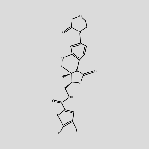 O=C(NC[C@@H]1OC(=O)N2c3ccc(N4CCOCC4=O)cc3OC[C@@H]12)c1cc(F)c(F)s1